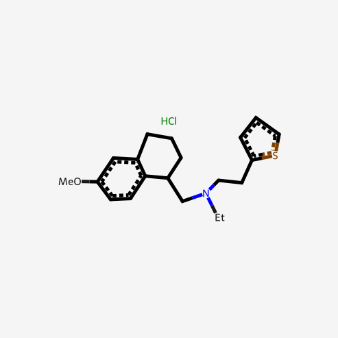 CCN(CCc1cccs1)CC1CCCc2cc(OC)ccc21.Cl